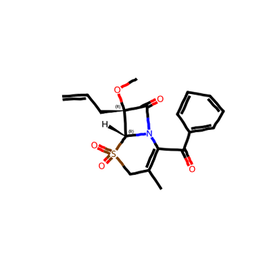 C=CC[C@@]1(OC)C(=O)N2C(C(=O)c3ccccc3)=C(C)CS(=O)(=O)[C@@H]21